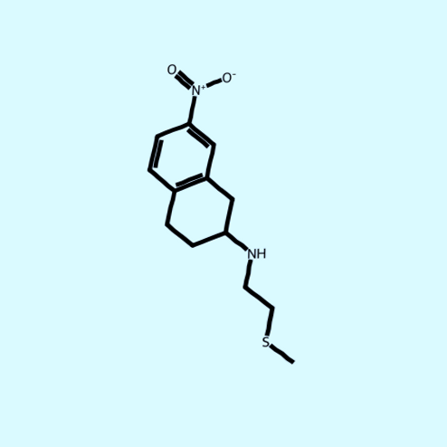 CSCCNC1CCc2ccc([N+](=O)[O-])cc2C1